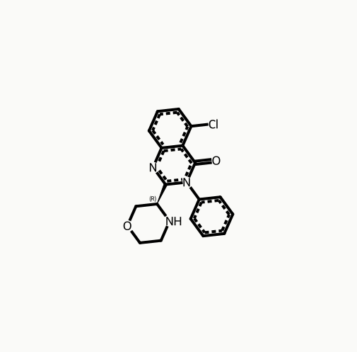 O=c1c2c(Cl)cccc2nc([C@@H]2COCCN2)n1-c1ccccc1